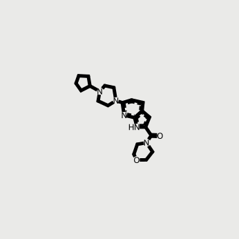 O=C(c1cc2ccc(N3CCN(C4CCCC4)CC3)nc2[nH]1)N1CCOCC1